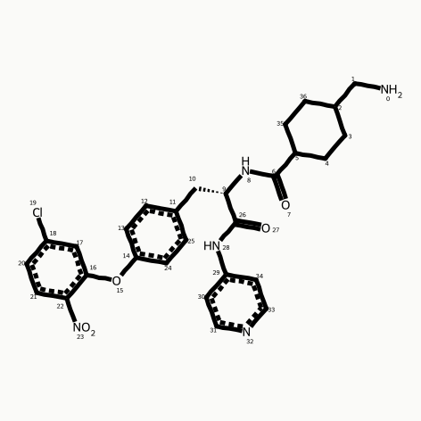 NCC1CCC(C(=O)N[C@@H](Cc2ccc(Oc3cc(Cl)ccc3[N+](=O)[O-])cc2)C(=O)Nc2ccncc2)CC1